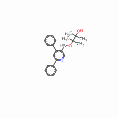 CC(C)(O)C(C)(C)OBc1cnc(-c2ccccc2)cc1-c1ccccc1